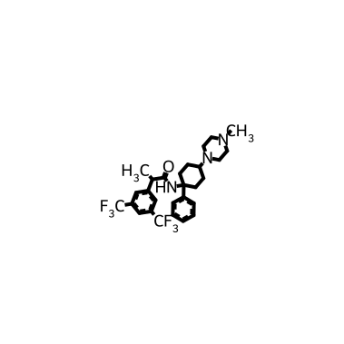 CC(C(=O)NC1(c2ccccc2)CCC(N2CCN(C)CC2)CC1)c1cc(C(F)(F)F)cc(C(F)(F)F)c1